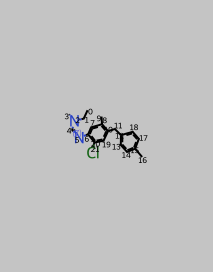 CCN(C)/C=N\c1cc(C)c(Cc2ccc(C)cc2)cc1Cl